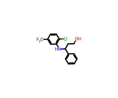 OCCC(Nc1cc(C(F)(F)F)ccc1Cl)c1ccccc1